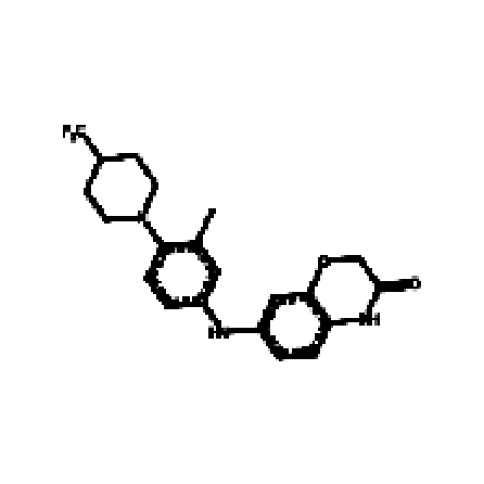 Cc1cc(Nc2ccc3c(c2)OCC(=O)N3)ccc1N1CCC(C(F)(F)F)CC1